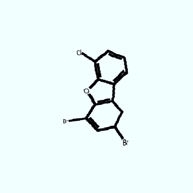 Clc1cccc2c3c(oc12)C(Br)=CC(Br)C3